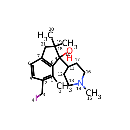 Cc1c(CI)ccc2c1C(O)(C1CCN(C)CC1)C(C)(C)C2